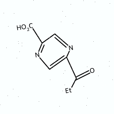 CCC(=O)c1cnc(C(=O)O)cn1